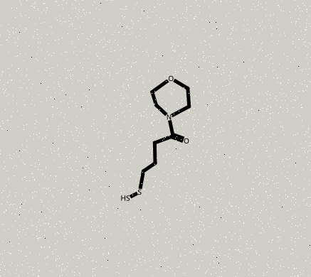 O=C(CCCSS)N1CCOCC1